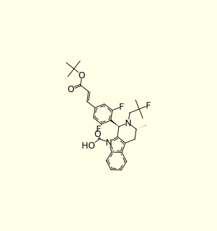 C[C@@H]1Cc2c(n(C(=O)O)c3ccccc23)[C@@H](c2c(F)cc(/C=C/C(=O)OC(C)(C)C)cc2F)N1CC(C)(C)F